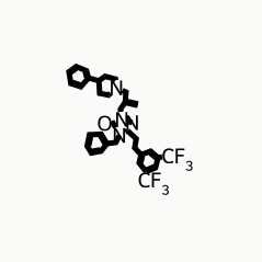 C=C(CN1CCC(c2ccccc2)CC1)Cn1nc(CCc2cc(C(F)(F)F)cc(C(F)(F)F)c2)n(Cc2ccccc2)c1=O